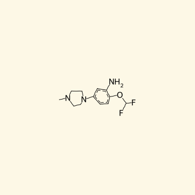 CN1CCN(c2ccc(OC(F)F)c(N)c2)CC1